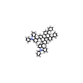 c1ccc(-c2cccc3c(-c4c5cccc(-c6cccc7c6c6ccccc6n7-c6ccccc6)c5cc5c(-c6cccc7c6c6ccccc6n7-c6ccccc6)cccc45)c4cccc(-c5ccccc5)c4cc23)cc1